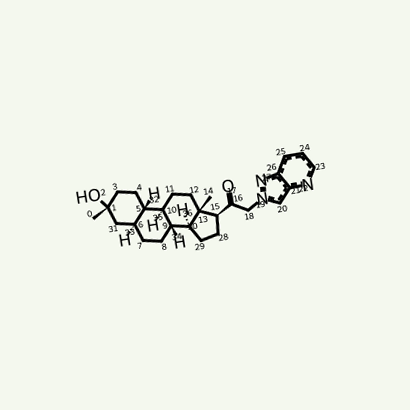 C[C@@]1(O)CC[C@H]2[C@@H](CC[C@@H]3[C@@H]2CC[C@]2(C)[C@@H](C(=O)Cn4cc5ncccc5n4)CC[C@@H]32)C1